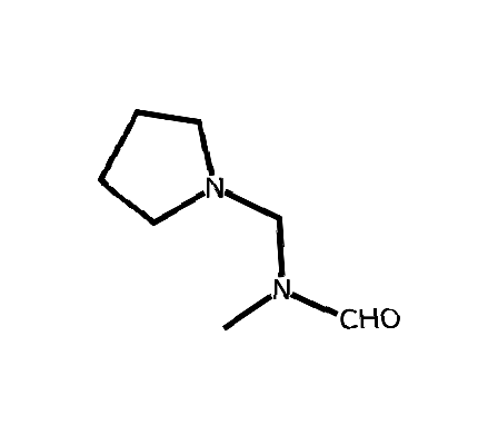 CN(C=O)CN1CCCC1